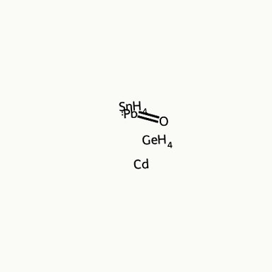 [Cd].[GeH4].[O]=[Pb].[SnH4]